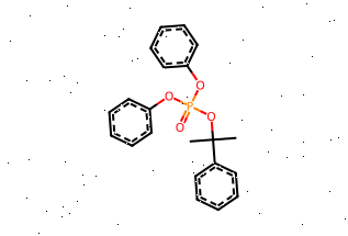 CC(C)(OP(=O)(Oc1ccccc1)Oc1ccccc1)c1ccccc1